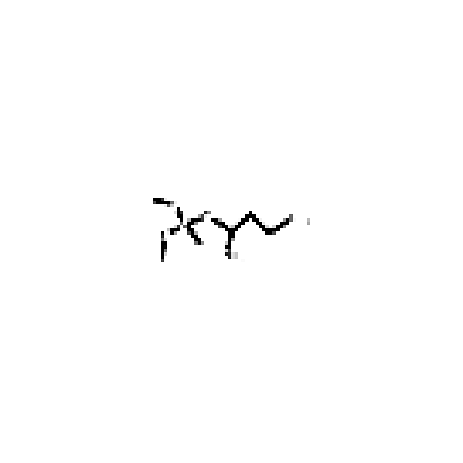 CO[Si](C)(OC)OC(N)CCN